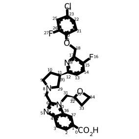 O=C(O)c1ccc2nc(CN3CC[C@@H](c4ccc(F)c(COc5ccc(Cl)cc5F)n4)C3)n(C[C@@H]3CCO3)c2c1